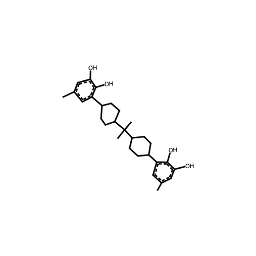 Cc1cc(O)c(O)c(C2CCC(C(C)(C)C3CCC(c4cc(C)cc(O)c4O)CC3)CC2)c1